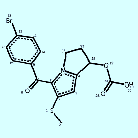 CSc1cc2n(c1C(=O)c1ccc(Br)cc1)CCC2OC(=O)O